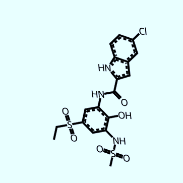 CCS(=O)(=O)c1cc(NC(=O)c2cc3cc(Cl)ccc3[nH]2)c(O)c(NS(C)(=O)=O)c1